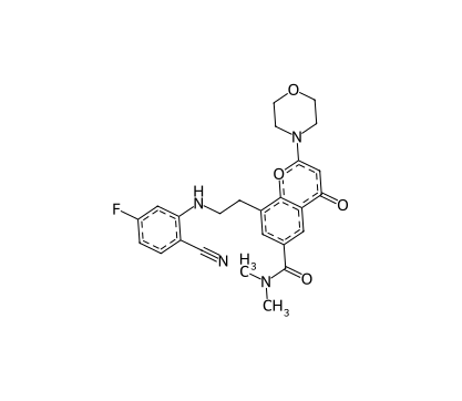 CN(C)C(=O)c1cc(CCNc2cc(F)ccc2C#N)c2oc(N3CCOCC3)cc(=O)c2c1